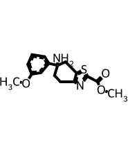 COC(=O)c1nc2c(s1)CC(N)(c1cccc(OC)c1)CC2